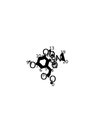 COC(=O)Cc1cc(OC)cc(OC)c1S(=O)(=O)N1CC1